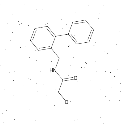 [O]CC(=O)NCc1ccccc1-c1ccccc1